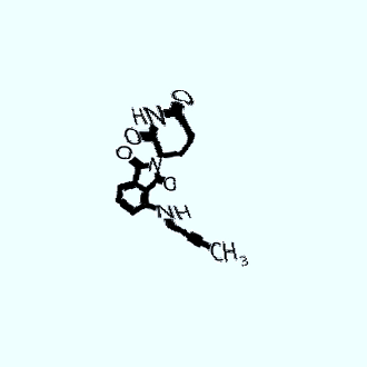 CC#CCNc1cccc2c1C(=O)N(C1CCC(=O)NC1=O)C2=O